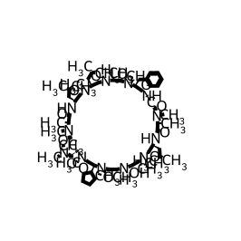 CC(C)C[C@@H]1NC(=O)[C@H](C)N(C)C(=O)C[C@@H](C(=O)N(C)C)N(C)C(=O)[C@H](C2CCCC2)N(C)C(=O)[C@H](C)NC(O)[C@H](C)N(C)C(=O)[C@H](CC(C)C)NC(=O)[C@H](C)N(C)C(=O)CNC(=O)[C@H](Cc2ccccc2)N(C)C(=O)[C@H](C)NC(=O)[C@H](CC(C)C)N(C)C1=O